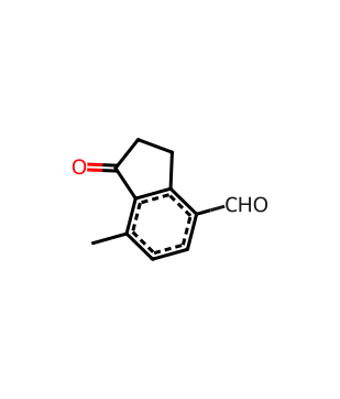 Cc1ccc(C=O)c2c1C(=O)CC2